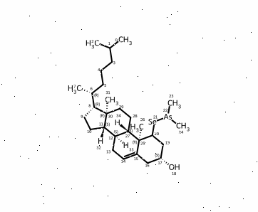 CC(C)CCC[C@@H](C)[C@H]1CC[C@H]2[C@@H]3CC=C4C[C@@H](O)CC([Se][As](C)C)[C@]4(C)[C@H]3CC[C@]12C